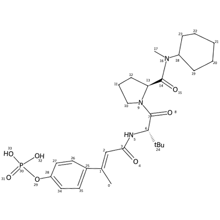 C/C(=C\C(=O)N[C@H](C(=O)N1CCC[C@H]1C(=O)N(C)C1CCCCC1)C(C)(C)C)c1ccc(OP(=O)(O)O)cc1